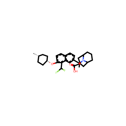 CC(c1ccc2ccc(O[C@H]3CC[C@@H](C)CC3)c(C(F)F)c2c1)N1C2CCCC1CC(C(=O)O)C2